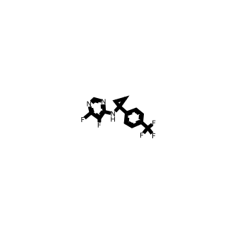 Fc1ncnc(NC2(c3ccc(C(F)(F)F)cc3)CC2)c1F